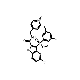 COP(=O)(c1cc(C)cc(F)c1)c1c(C(=O)NCc2cc[n+](C)cc2)[nH]c2ccc(Cl)cc12